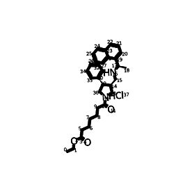 CCOC(=O)CCCCCC(=O)N1C[C@H](CN[C@H](C)c2cccc3ccccc23)[C@@H](c2ccccc2)C1.Cl